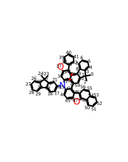 CC1(C)c2ccccc2-c2ccc(-c3c(N(c4ccc5c(c4)C(C)(C)c4ccccc4-5)c4ccc5c(c4)oc4ccccc45)ccc4oc5c6ccccc6ccc5c34)cc21